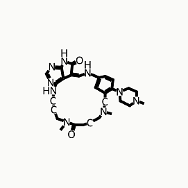 CN1CCN(c2ccc3cc2CN(C)CCCC(=O)N(C)CCCNc2ncnc4c2/C(=C/N3)C(=O)N4)CC1